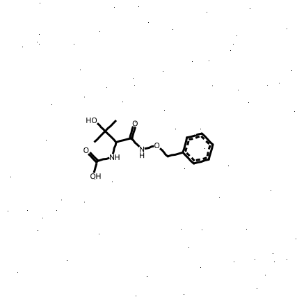 CC(C)(O)C(NC(=O)O)C(=O)NOCc1ccccc1